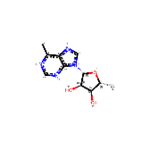 CC[C@H]1O[C@@H](n2cnc3c(C)ncnc32)[C@H](O)[C@@H]1O